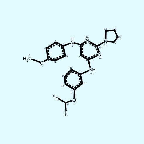 COc1ccc(Nc2cc(Nc3cccc(OC(F)F)c3)nc(N3CCCC3)n2)cc1